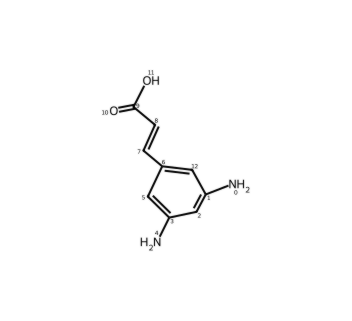 Nc1cc(N)cc(C=CC(=O)O)c1